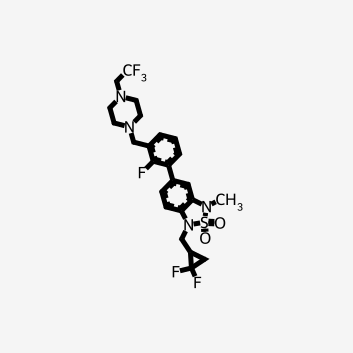 CN1c2cc(-c3cccc(CN4CCN(CC(F)(F)F)CC4)c3F)ccc2N(CC2CC2(F)F)S1(=O)=O